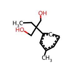 CCC(CO)(CO)c1cccc(C)c1